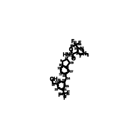 Cn1cc(S(=O)(=O)N[C@H]2Cc3ccc(Cc4cc(CO)cc(C(F)(F)F)c4)cc3C2)c(C(F)(F)F)n1